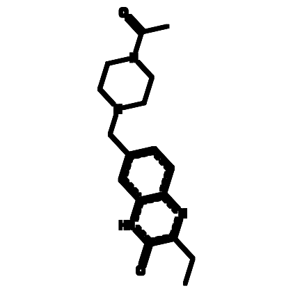 CCc1nc2ccc(CN3CCN(C(C)=O)CC3)cc2[nH]c1=O